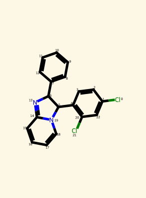 Clc1ccc(C2C(c3ccccc3)N=C3C=CC=CN32)c(Cl)c1